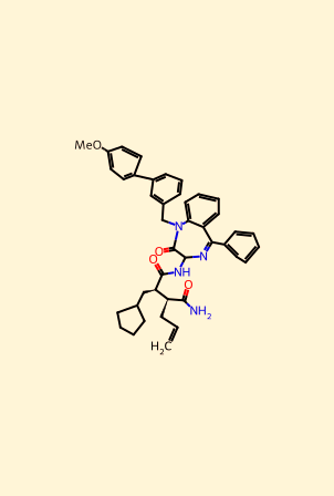 C=CC[C@H](C(N)=O)[C@@H](CC1CCCC1)C(=O)NC1N=C(c2ccccc2)c2ccccc2N(Cc2cccc(-c3ccc(OC)cc3)c2)C1=O